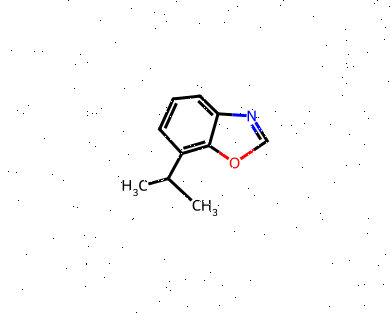 CC(C)c1cccc2ncoc12